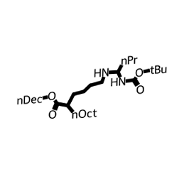 CCCCCCCCCCOC(=O)C(CCCCCCCC)CCCCNC(CCC)NC(=O)OC(C)(C)C